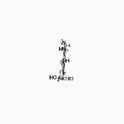 O=CN[C@@H](CCC(=O)NCCOCCOCC(=O)NCCOCCOCC(=O)NCCNC(=O)CBr)C(=O)O